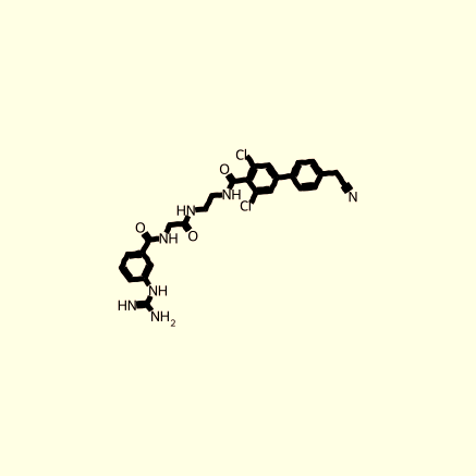 N#CCc1ccc(-c2cc(Cl)c(C(=O)NCCNC(=O)CNC(=O)c3cccc(NC(=N)N)c3)c(Cl)c2)cc1